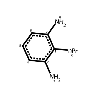 CCCc1c(N)cccc1N